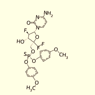 COc1ccc(OP(=S)(OC[C@@]2(C(F)F)O[C@@H](n3ccc(N)nc3=O)[C@H](F)[C@H]2O)Oc2ccc(OC)cc2)cc1